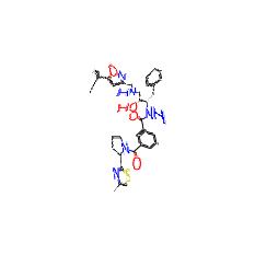 Cc1csc([C@H]2CCCN2C(=O)c2cccc(C(=O)N[C@@H](Cc3ccccc3)[C@H](O)CNCc3cc(C(C)C)on3)c2)n1